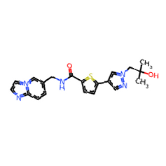 CC(C)(O)Cn1cc(-c2ccc(C(=O)NCc3ccc4nccn4c3)s2)cn1